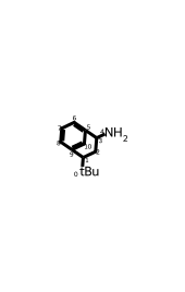 CC(C)(C)C1CC(N)c2cccc1c2